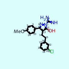 COc1ccc(-c2nn(C(=N)N)c(O)c2CCc2cccc(Cl)c2)cc1